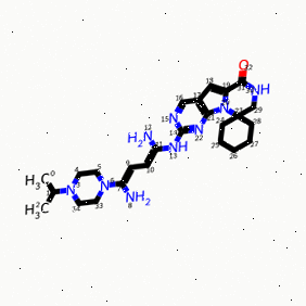 CC(C)N1CCN(/C(N)=C/C=C(\N)Nc2ncc3cc4n(c3n2)C2(CCCCC2)CNC4=O)CC1